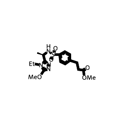 CCn1c(OC)nnc1[C@@H](C)NS(=O)(=O)c1ccc(CCC(=O)OC)cc1